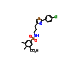 Cc1cc(S(=O)(=O)NCCCc2csc(-c3ccc(Cl)cc3)n2)cc(C(=O)O)c1C